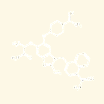 CC(=N)N1CCC(Oc2cc3c(cc2OC(C)C(N)=O)nc(C)n3Cc2ccc(C(=N)N)c3ccccc23)CC1